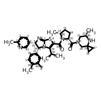 Cc1ccc([C@@H]2N=C3SC(C(=O)N4[C@H](C)CC[C@H]4C(=O)N4C[C@@H](C)NC5(CC5)C4)=C(C(C)C)N3[C@@H]2c2ccc(C)c(F)c2)cn1